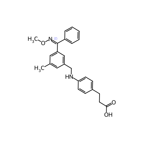 CO/N=C(/c1ccccc1)c1cc(C)cc(CNc2ccc(CCC(=O)O)cc2)c1